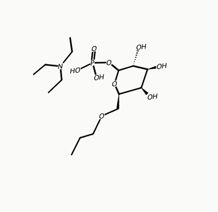 CCCOC[C@H]1OC(OP(=O)(O)O)[C@H](O)[C@@H](O)[C@H]1O.CCN(CC)CC